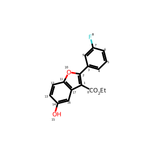 CCOC(=O)c1c(-c2cccc(F)c2)oc2ccc(O)cc12